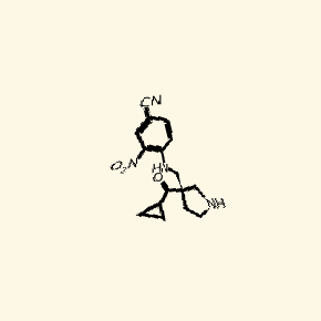 N#Cc1ccc(NC[C@]2(C(=O)C3CC3)CCNC2)c([N+](=O)[O-])c1